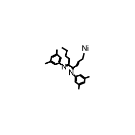 CC/C=C/C(=N\c1cc(C)cc(C)c1)C(/CCCC)=N/c1cc(C)cc(C)c1.[Ni]